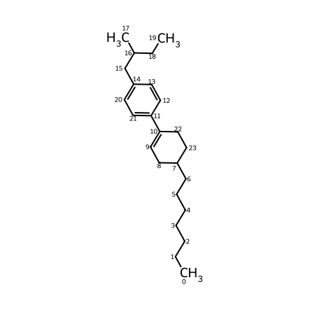 CCCCCCCC1CC=C(c2ccc(CC(C)CC)cc2)CC1